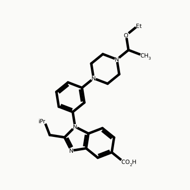 CCOC(C)N1CCN(c2cccc(-n3c(CC(C)C)nc4cc(C(=O)O)ccc43)c2)CC1